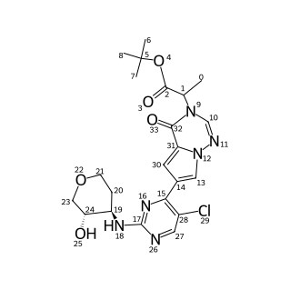 CC(C(=O)OC(C)(C)C)n1cnn2cc(-c3nc(N[C@@H]4CCOC[C@H]4O)ncc3Cl)cc2c1=O